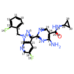 Nc1nc(-c2nn(Cc3ccccc3F)c3ncc(F)cc23)ncc1C(=O)NC1CC1